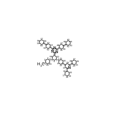 Cc1ccc(-c2cc(-c3ccc(-c4cc(-c5ccccc5)nc(-c5ccccc5)c4)cc3)cc(-c3nc(-c4ccc(-c5ccccc5)cc4)nc(-c4ccc(-c5ccccc5)cc4)n3)c2)cc1